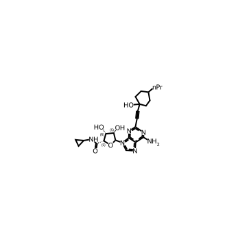 CCCC1CCC(O)(C#Cc2nc(N)c3ncn(C4O[C@H](C(=O)NC5CC5)[C@H](O)[C@@H]4O)c3n2)CC1